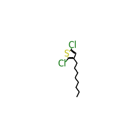 CCCCCCCCc1cc(Cl)sc1Cl